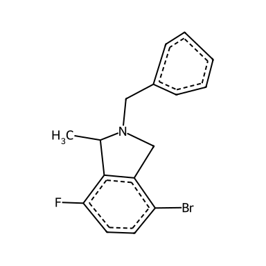 CC1c2c(F)ccc(Br)c2CN1Cc1ccccc1